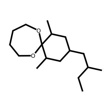 CCC(C)CC1CC(C)C2(OCCCCO2)C(C)C1